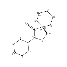 O=C1N(C2CCOCC2)CC[C@@]12CCCNC2